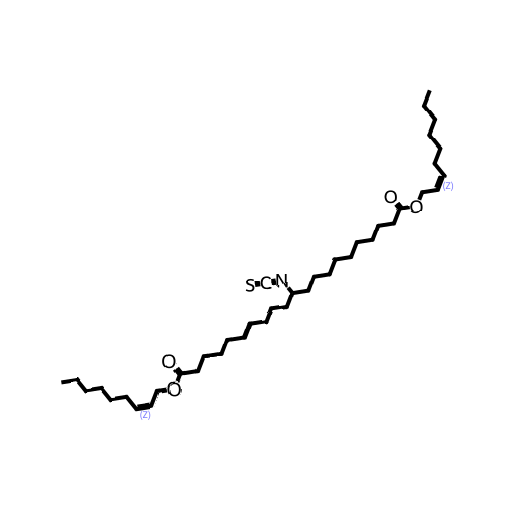 CCCCCC/C=C\COC(=O)CCCCCCCCCC(CCCCCCCCCC(=O)OC/C=C\CCCCCC)N=C=S